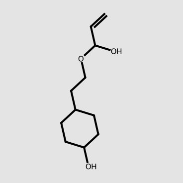 C=CC(O)OCCC1CCC(O)CC1